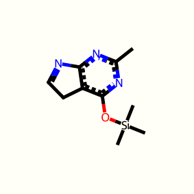 Cc1nc2c(c(O[Si](C)(C)C)n1)CC=N2